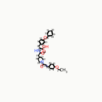 CCOc1ccc(/C=C/C(=O)N2CCC(CC(=O)N[C@@H](Cc3ccc(OCc4ccccc4)cc3)C(=O)O)CC2)cc1